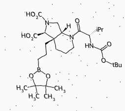 CC(C)[C@H](NC(=O)OC(C)(C)C)C(=O)N1CCC[C@@]2(CCCB3OC(C)(C)C(C)(C)O3)[C@@H]1CN(C(=O)O)[C@@H]2C(=O)O